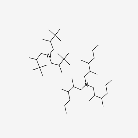 CC([CH2][Al]([CH2]C(C)C(C)(C)C)[CH2]C(C)C(C)(C)C)C(C)(C)C.CCCC(C)C(C)[CH2][Al]([CH2]C(C)C(C)CCC)[CH2]C(C)C(C)CCC